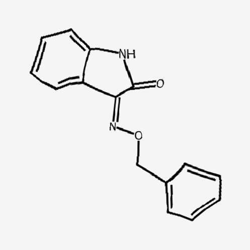 O=C1Nc2ccccc2/C1=N/OCc1ccccc1